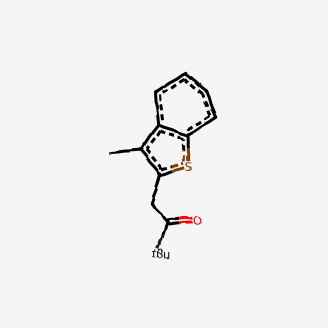 Cc1c(CC(=O)C(C)(C)C)sc2ccccc12